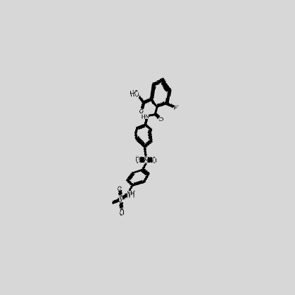 CS(=O)(=O)Nc1ccc(S(=O)(=O)c2ccc(NC(=O)c3c(F)cccc3C(=O)O)cc2)cc1